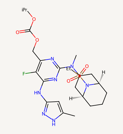 CCS(=O)(=O)N1[C@@H]2CCC[C@H]1CC(N(C)c1nc(COC(=O)OC(C)C)c(F)c(Nc3cc(C)[nH]n3)n1)C2